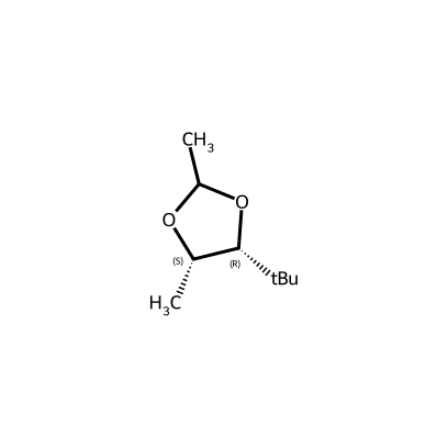 CC1O[C@@H](C)[C@@H](C(C)(C)C)O1